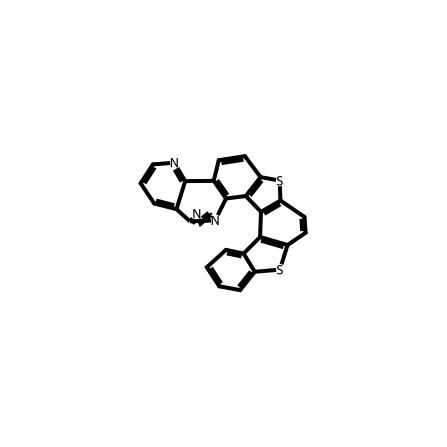 c1ccc2c(c1)sc1ccc3sc4ccc5c6ncccc6c6nccn6c5c4c3c12